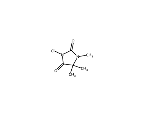 CN1C(=O)N(Cl)C(=O)C1(C)C